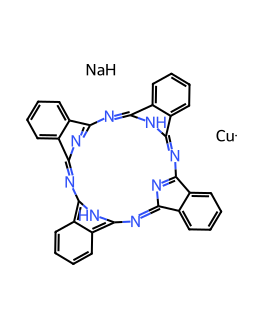 [Cu].[NaH].c1ccc2c(c1)-c1nc-2nc2[nH]c(nc3nc(nc4[nH]c(n1)c1ccccc41)-c1ccccc1-3)c1ccccc21